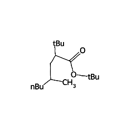 CCCCC(C)CC(C(=O)OC(C)(C)C)C(C)(C)C